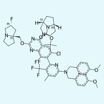 COc1ccc(CN(Cc2ccc(OC)cc2)c2cc(C)c(C(F)(F)F)c(-c3c(Cl)cc4c(N5CC[C@H]6CC[C@@H](C5)N6C(=O)OC(C)(C)C)nc(OC[C@@]56CCCN5C[C@H](F)C6)nc4c3F)n2)cc1